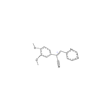 COc1ccc(/C(C#N)=C/c2ccccn2)cc1OC